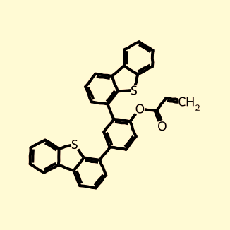 C=CC(=O)Oc1ccc(-c2cccc3c2sc2ccccc23)cc1-c1cccc2c1sc1ccccc12